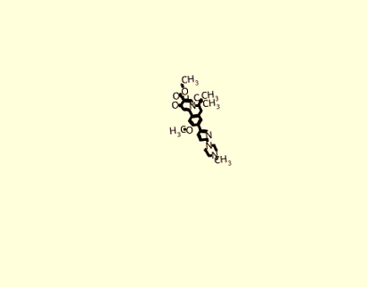 CCOC(=O)c1cn2c(cc1=O)-c1cc(OC)c(-c3ccc(N4CCN(C)CC4)nc3)cc1CC2C(C)(C)C